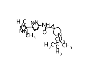 Cc1cnn(C)c1-c1ccc(NC(=O)C2CC23CCN(CC(C)C(C)(C)C)CC3)nn1